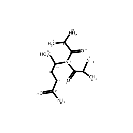 CC(N)C(=O)N(C(=O)C(C)N)C(CCC(N)=O)C(=O)O